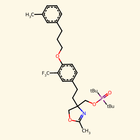 CC1=NC(CCc2ccc(OCCCc3cccc(C)c3)c(C(F)(F)F)c2)(COP(=O)(C(C)(C)C)C(C)(C)C)CO1